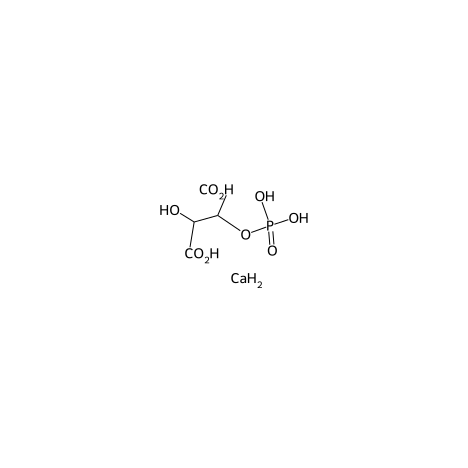 O=C(O)C(O)C(OP(=O)(O)O)C(=O)O.[CaH2]